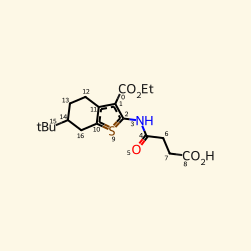 CCOC(=O)c1c(NC(=O)CCC(=O)O)sc2c1CCC(C(C)(C)C)C2